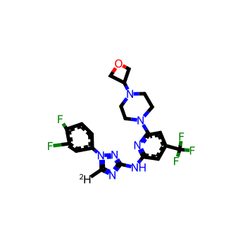 [2H]c1nc(Nc2cc(C(F)(F)F)cc(N3CCN(C4COC4)CC3)n2)nn1-c1ccc(F)c(F)c1